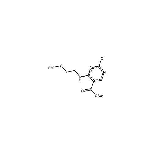 CCCOCCNc1nc(Cl)ncc1C(=O)OC